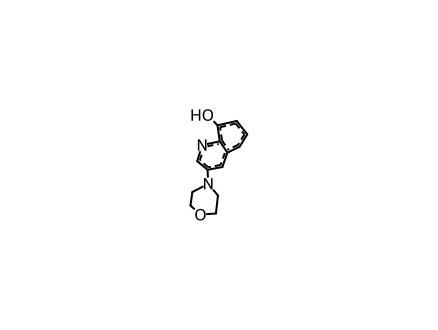 Oc1cccc2cc(N3CCOCC3)cnc12